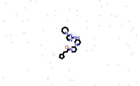 O=C(CCC1CCCC1)N1CCCC(N2CCCC(Nc3nccc(N4CCCCCC4)n3)C2)C1